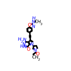 C=CC(=O)N1CC[C@H](n2cc(C#Cc3ccc4oc(NC)nc4c3)c3c(N)n[nH]c(=O)c32)C1